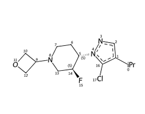 CC(C)c1cnn([C@H]2CCN(C3COC3)C[C@@H]2F)c1Cl